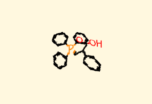 O=C(O)C(C=P(c1ccccc1)(c1ccccc1)c1ccccc1)c1ccccc1